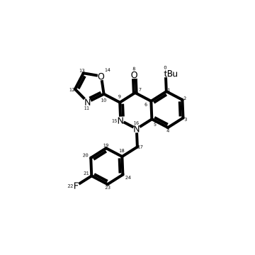 CC(C)(C)c1cccc2c1c(=O)c(-c1ncco1)nn2Cc1ccc(F)cc1